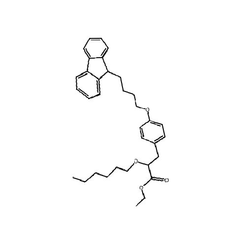 CCCCCCOC(Cc1ccc(OCCCCC2c3ccccc3-c3ccccc32)cc1)C(=O)OCC